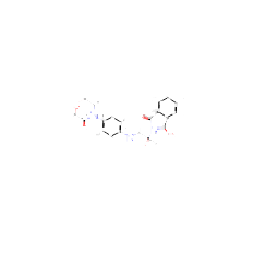 CC(O)(CNc1ccc(N2CCOCC2=O)cc1)N1C(=O)c2ccccc2C1=O